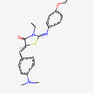 CCOc1ccc(/N=C2/S/C(=C\c3ccc(N(C)C)cc3)C(=O)N2CC)cc1